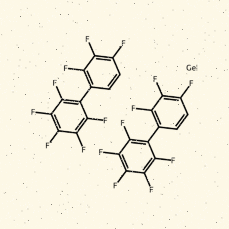 Fc1ccc(-c2c(F)c(F)c(F)c(F)c2F)c(F)c1F.Fc1ccc(-c2c(F)c(F)c(F)c(F)c2F)c(F)c1F.[Ge]